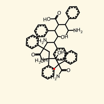 CC(N)C(c1ccccc1)C(C(=O)O)C(c1ccccc1)C(O)C(c1ccccc1)C(N)C(CC(N)(c1ccccc1)C(O)C(C)(C(N)=O)c1ccccc1)(C(=O)O)c1ccccc1